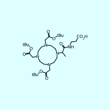 CC(C(=O)NCCC(=O)O)N1CCN(CC(=O)OC(C)(C)C)CCN(CC(=O)OC(C)(C)C)CCN(CC(=O)OC(C)(C)C)CC1